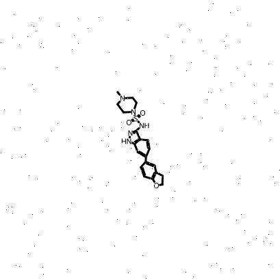 CN1CCN(S(=O)(=O)Nc2n[nH]c3cc(-c4ccc5c(c4)CCO5)ccc23)CC1